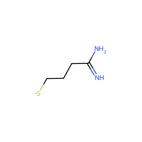 N=C(N)CCC[S]